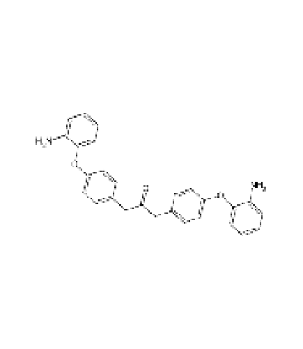 Nc1ccccc1Oc1ccc(CC(=O)Cc2ccc(Oc3ccccc3N)cc2)cc1